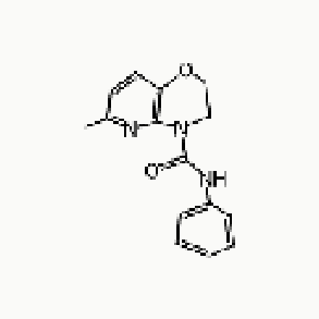 Cc1ccc2c(n1)N(C(=O)Nc1ccccc1)CCO2